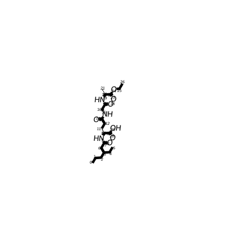 CCCC(CC)CC(=O)N[C@H](CCC(=O)NCC(=O)N[C@H](C)C(=O)OCC)C(=O)O